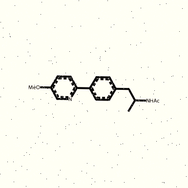 COc1ccc(-c2ccc(CC(C)NC(C)=O)cc2)nc1